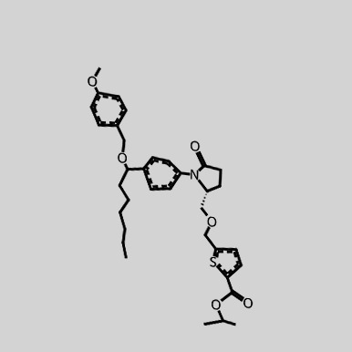 CCCCCCC(OCc1ccc(OC)cc1)c1ccc(N2C(=O)CC[C@@H]2COCc2ccc(C(=O)OC(C)C)s2)cc1